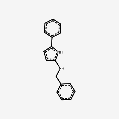 c1ccc(CNc2ccc(-c3ccccc3)[nH]2)cc1